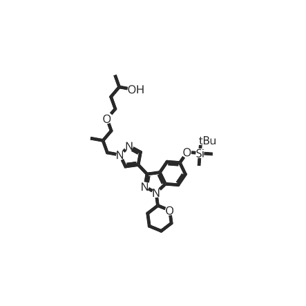 CC(O)CCOCC(C)Cn1cc(-c2nn(C3CCCCO3)c3ccc(O[Si](C)(C)C(C)(C)C)cc23)cn1